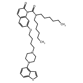 CCCCCCN(CCCCCC)C(=O)n1c(=O)ccc2ccc(OCCCCN3CCN(c4cccc5sccc45)CC3)cc21